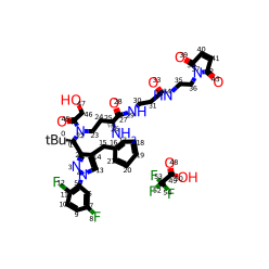 CC(C)(C)[C@H](c1nn(-c2cc(F)ccc2F)cc1Cc1ccccc1)N(CC[C@H](N)C(=O)NCCC(=O)NCCN1C(=O)C=CC1=O)C(=O)CO.O=C(O)C(F)(F)F